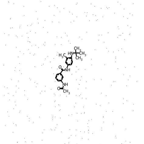 CC(=O)Nc1cccc(C(=O)Nc2ccc(NC(C)(C)C)c(C)c2)c1